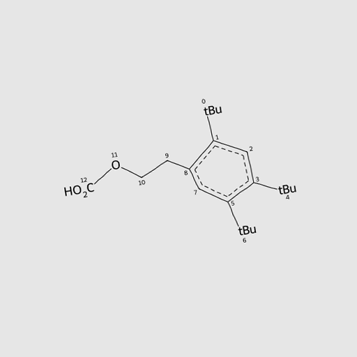 CC(C)(C)c1cc(C(C)(C)C)c(C(C)(C)C)cc1CCOC(=O)O